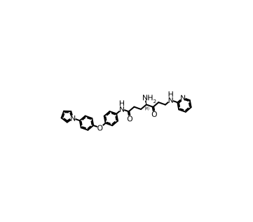 N[C@H](CCC(=O)Nc1ccc(Oc2ccc(-n3cccc3)cc2)cc1)C(=O)CCNc1ccccn1